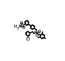 Cc1cc(C)c(S(=O)(=O)N(CCc2cccc(Cl)c2)Cc2ccc(-c3cccc(S(N)(=O)=O)c3)cc2)c(C)c1